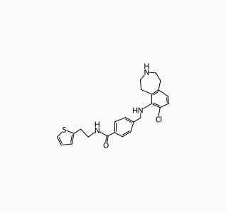 O=C(NCCc1cccs1)c1ccc(CNc2c(Cl)ccc3c2CCNCC3)cc1